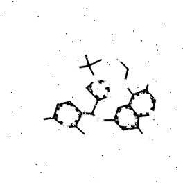 Cc1nc(F)ccc1C(Nc1cc(C#N)c2ncc(C#N)c(NCC(C)(C)C)c2c1)c1cn(C(C)(C)C(F)(F)F)nn1